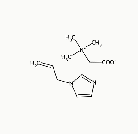 C=CCn1ccnc1.C[N+](C)(C)CC(=O)[O-]